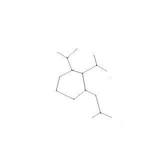 BC(B)CC1CCCC(C(C)C)C1C(C)C